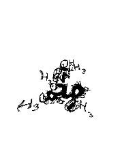 COc1ccc2c(CC(=O)N(C)N=C(C)C(=O)O)c(-c3ccccc3OC)sc2c1